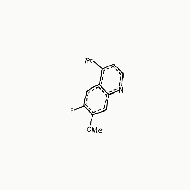 COc1cc2nccc(C(C)C)c2cc1F